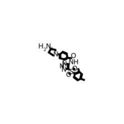 Cc1ccc(S(=O)(=O)c2nnn3c2[nH]c(=O)c2ccc(N4CC[C@@H](N)C4)cc23)c(C)c1